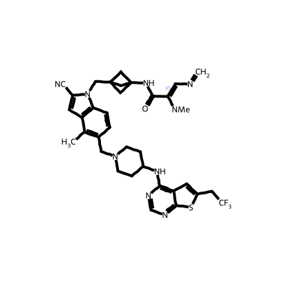 C=N/C=C(\NC)C(=O)NC12CC(Cn3c(C#N)cc4c(C)c(CN5CCC(Nc6ncnc7sc(CC(F)(F)F)cc67)CC5)ccc43)(C1)C2